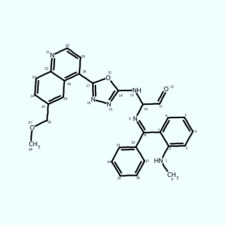 CNc1ccccc1/C(=N\C(C=O)Nc1nnc(-c2ccnc3ccc(COC)cc23)o1)c1ccccc1